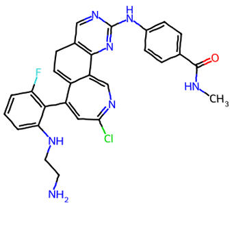 CNC(=O)c1ccc(Nc2ncc3c(n2)C2=CN=C(Cl)C=C(c4c(F)cccc4NCCN)C2=CC3)cc1